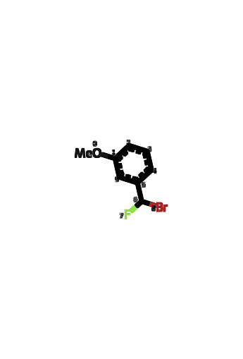 COc1cccc(C(F)Br)c1